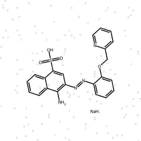 Nc1c(N=Nc2ccccc2OCc2ccccn2)cc(S(=O)(=O)O)c2ccccc12.[NaH]